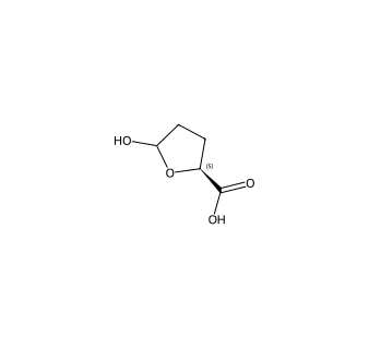 O=C(O)[C@@H]1CCC(O)O1